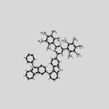 Bc1c(B)c(B)c(-c2nc(-c3ccc4c(c3)oc3cccc(-c5ccc6c(c5)c5ccccc5n6-c5ccccc5)c34)nc(-c3c(B)c(B)c(B)c(B)c3B)n2)c(B)c1B